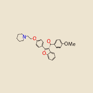 COc1ccc(C(=O)c2c(-c3ccc(OCCN4CCCCC4)cc3)oc3ccccc23)cc1